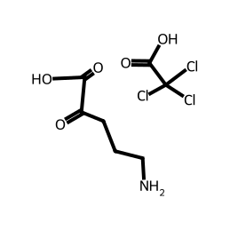 NCCCC(=O)C(=O)O.O=C(O)C(Cl)(Cl)Cl